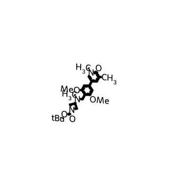 COc1cc(-c2cc(C)c(=O)n(C)c2)cc(OC)c1CN(C)C1CN(C(=O)OC(C)(C)C)C1